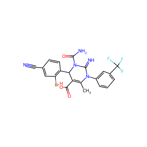 CC1=C(C(=O)O)C(c2ccc(C#N)cc2Br)N(C(N)=O)C(=N)N1c1cccc(C(F)(F)F)c1